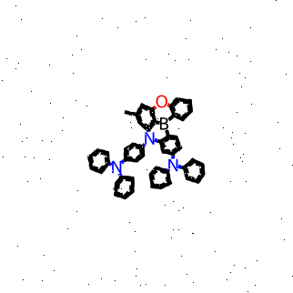 Cc1cc2c3c(c1)N(c1ccc(N(c4ccccc4)c4ccccc4)cc1)c1cc(N(c4ccccc4)c4ccccc4)ccc1B3c1ccccc1O2